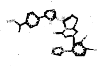 CC(=O)NC(C)c1ccc(-c2cnc([C@@H]3CCC4CC(c5c(-n6cnnn6)ccc(Cl)c5F)=CC(=O)N43)[nH]2)cc1